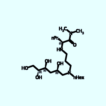 CCCCCCN(CCCN[C@@H](CCC)C(=O)N(C)C)C[C@H](O)C[C@H](O)[C@H](O)CO